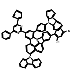 N#Cc1ccc(-c2ccc3c(c2)c2ccccc2n3-c2c(-c3ccc(-n4c5ccccc5c5ccccc54)cc3)cc(-c3nc(-c4ccccc4)cc(-c4ccccc4)n3)cc2-c2ccc(-n3c4ccccc4c4ccccc43)cc2)c(C#N)c1